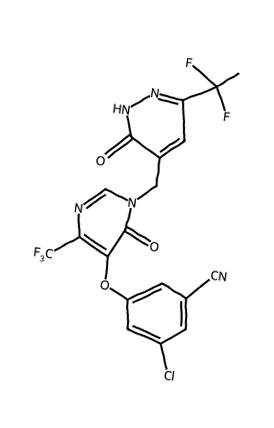 CC(F)(F)c1cc(Cn2cnc(C(F)(F)F)c(Oc3cc(Cl)cc(C#N)c3)c2=O)c(=O)[nH]n1